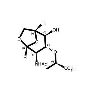 CC(=O)N[C@H]1[C@@H]2OC[C@@H](O2)[C@@H](O)[C@@H]1O[C@H](C)C(=O)O